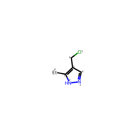 CCc1[nH]ncc1CCl